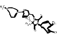 CN1CCCN(c2ccc(CN3C(=S)N(c4ccc(C#N)c(C(F)(F)F)c4)C(=O)C3(C)C)cn2)CC1